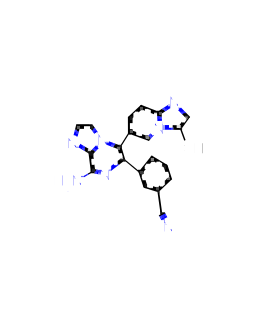 Cc1cnc2ccc(-c3c(-c4cccc(C#N)c4)nc(N)c4nccn34)cn12